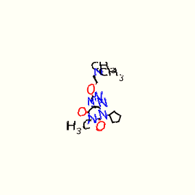 CN(C)CCOc1nnc2c(n1)c(=O)n(C)c(=O)n2C1CCCC1